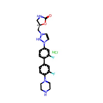 Cl.O=C1NC[C@H](CN2C=CN(c3ccc(-c4ccc(N5CCNCC5)c(F)c4)c(F)c3)N2)O1